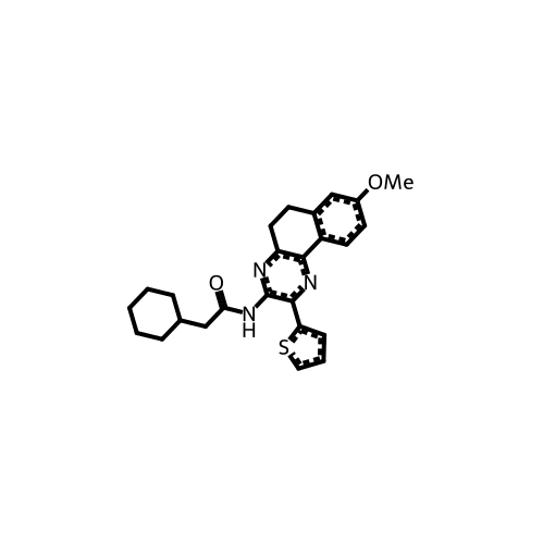 COc1ccc2c(c1)CCc1nc(NC(=O)CC3CCCCC3)c(-c3cccs3)nc1-2